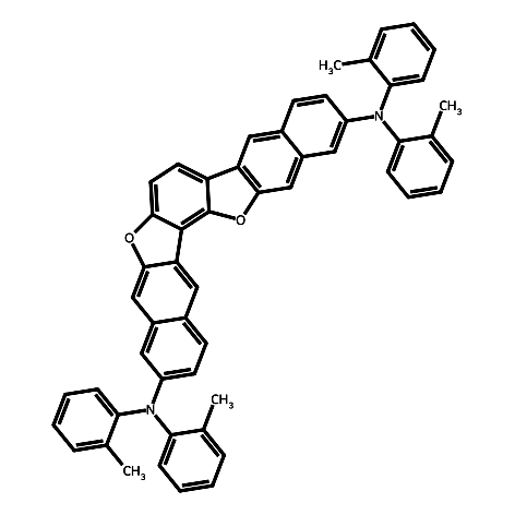 Cc1ccccc1N(c1ccc2cc3c(cc2c1)oc1c3ccc2oc3cc4cc(N(c5ccccc5C)c5ccccc5C)ccc4cc3c21)c1ccccc1C